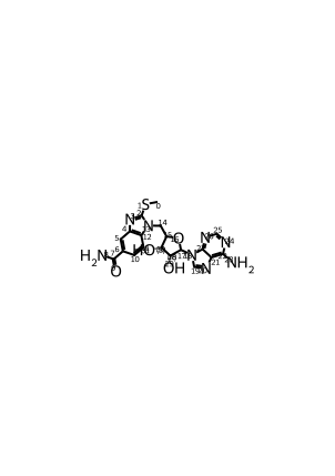 CSc1nc2cc(C(N)=O)ccc2n1CC1OC(n2cnc3c(N)ncnc32)[C@H](O)[C@@H]1O